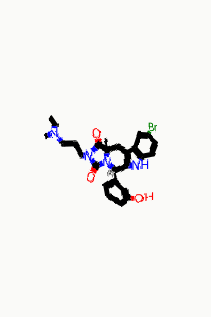 CCN(C)CCCN1C(=O)N2[C@H](c3cccc(O)c3)c3[nH]c4ccc(Br)cc4c3C[C@@]2(C)C1=O